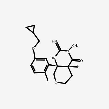 CN1C(=N)N[C@@]2(c3cc(OCC4CC4)ccc3F)COCC[C@H]2C1=O